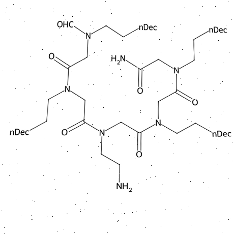 CCCCCCCCCCCCN(C=O)CC(=O)N(CCCCCCCCCCCC)CC(=O)N(CCN)CC(=O)N(CCCCCCCCCCCC)CC(=O)N(CCCCCCCCCCCC)CC(N)=O